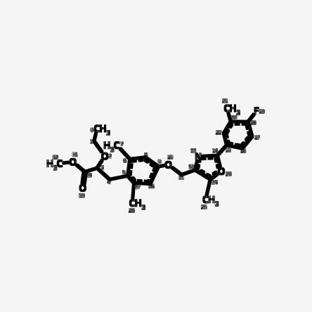 CCOC(Cc1c(C)cc(OCc2nc(-c3ccc(F)c(C)c3)oc2C)cc1C)C(=O)OC